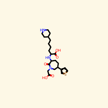 O=C(O)CN1CC(c2ccsc2)CCC(NC(CCCCC2CCNCC2)C(=O)O)C1=O